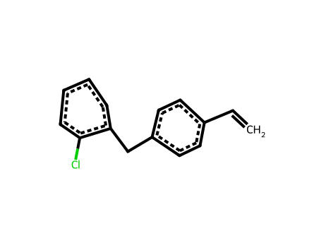 C=Cc1ccc(Cc2ccccc2Cl)cc1